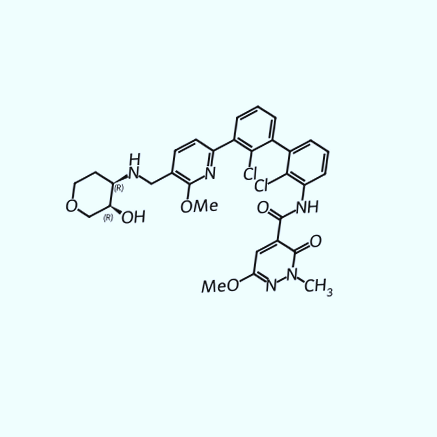 COc1cc(C(=O)Nc2cccc(-c3cccc(-c4ccc(CN[C@@H]5CCOC[C@@H]5O)c(OC)n4)c3Cl)c2Cl)c(=O)n(C)n1